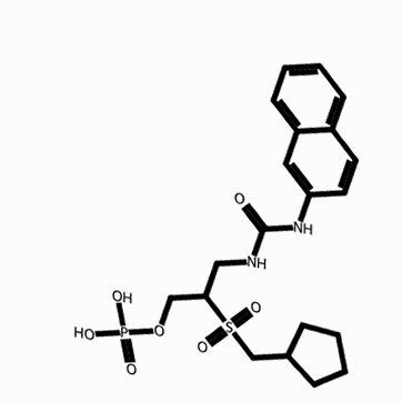 O=C(NCC(COP(=O)(O)O)S(=O)(=O)CC1CCCC1)Nc1ccc2ccccc2c1